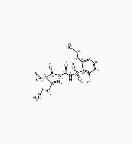 CCOc1nn(C(=O)NS(=O)(=O)c2c(I)cccc2CCO)c(=O)n1C1CC1